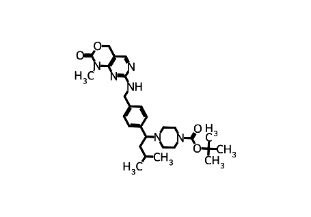 CC(C)CC(c1ccc(CNc2ncc3c(n2)N(C)C(=O)OC3)cc1)N1CCN(C(=O)OC(C)(C)C)CC1